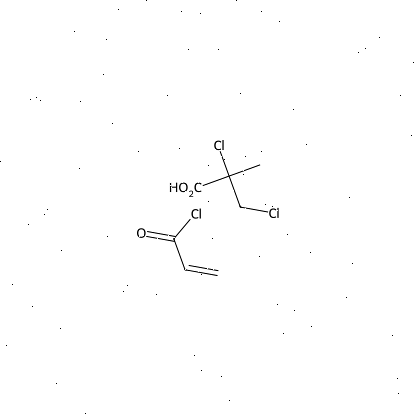 C=CC(=O)Cl.CC(Cl)(CCl)C(=O)O